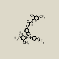 CC1CC(n2c(Nc3ccc(OC(F)(F)F)cc3)nc3cc(OCC(=O)NCc4ncc(C(F)(F)F)cc4Cl)ccc32)CC(C)(C)C1